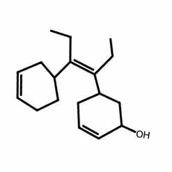 CCC(=C(CC)C1CC=CC(O)C1)C1CC=CCC1